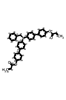 C=CC(=O)Oc1ccc(-c2ccc(N(Cc3ccccc3)c3ccc(-c4ccc(OC(=O)C=C)cc4)cc3)cc2)cc1